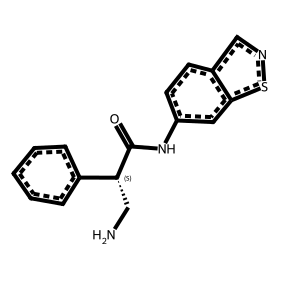 NC[C@@H](C(=O)Nc1ccc2cnsc2c1)c1ccccc1